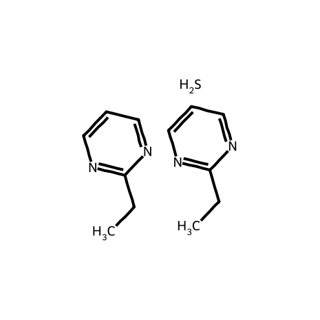 CCc1ncccn1.CCc1ncccn1.S